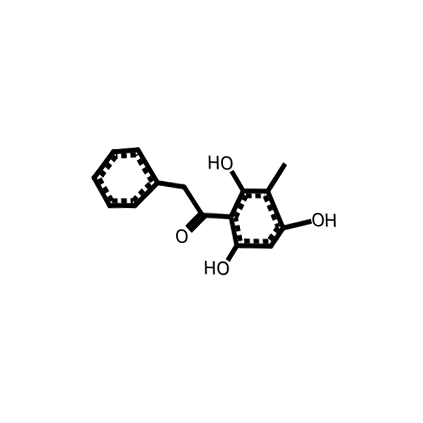 Cc1c(O)cc(O)c(C(=O)Cc2ccccc2)c1O